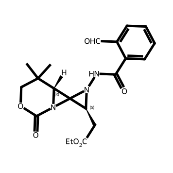 CCOC(=O)C[C@@H]1N(NC(=O)c2ccccc2C=O)C12[C@@H]1N2C(=O)OCC1(C)C